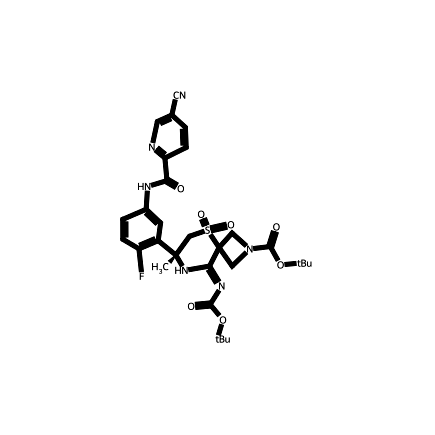 CC(C)(C)OC(=O)N=C1N[C@](C)(c2cc(NC(=O)c3ccc(C#N)cn3)ccc2F)CS(=O)(=O)C12CN(C(=O)OC(C)(C)C)C2